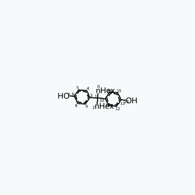 CCCCCCC(CCCCCC)(c1ccc(O)cc1)c1ccc(O)cc1